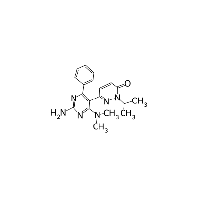 CC(C)n1nc(-c2c(-c3ccccc3)nc(N)nc2N(C)C)ccc1=O